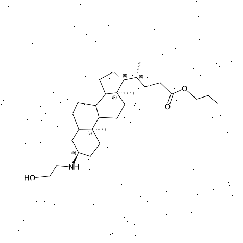 CCCOC(=O)CC[C@@H](C)[C@H]1CCC2C3CCC4C[C@H](NCCO)CC[C@]4(C)C3CC[C@@]21C